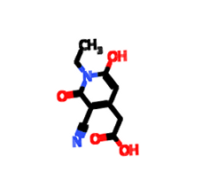 CCn1c(O)cc(CC(=O)O)c(C#N)c1=O